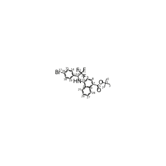 CC(C)(C)OC(=O)c1ccc(NC(c2ccc(Br)cc2)C(F)(F)F)c2ccccc12